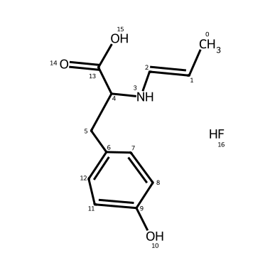 CC=CNC(Cc1ccc(O)cc1)C(=O)O.F